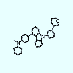 CN(c1ccccc1)c1ccc(-c2cccc3c2c2ccccc2n3-c2cccc(-c3ccccc3)c2)cc1